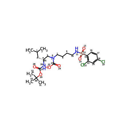 CC(C)C[C@H](CN(CCCCNS(=O)(=O)c1ccc(Cl)cc1Cl)C(=O)O)NC(=O)OC(C)(C)C